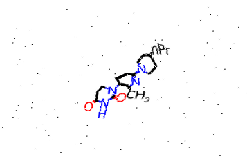 CCCC1CCN(c2ccc(N3CCC(=O)NC3=O)c(C)n2)CC1